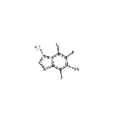 CC(C)c1c(F)c(Cl)c2c(ncn2C)c1F